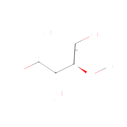 CCO[C@@H]([C@H](O)CO)[C@@H](O)C=O